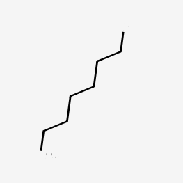 COCCCCCCC(=O)O